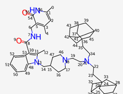 Cc1cc(C)c(CNC(=O)c2c(C)n(CC3CCN(CCN(CCC45CC6CC(CC(C6)C4)C5)CCC45CC6CC(CC(C6)C4)C5)CC3)c3ccccc23)c(=O)[nH]1